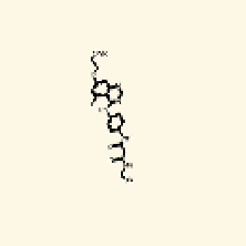 COCCOc1cc(F)c2c(Nc3ccc(NC(=O)CC(=O)NCC(C)(C)C)cc3)ncnc2c1